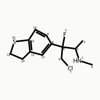 CNC(C)C(F)(CCl)c1ccc2c(c1)CCS2